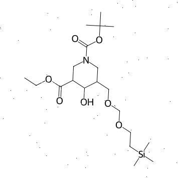 CCOC(=O)C1CN(C(=O)OC(C)(C)C)CC(COCOCC[Si](C)(C)C)C1O